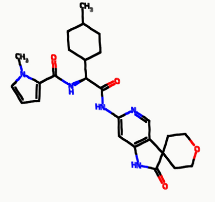 CC1CCC([C@H](NC(=O)c2cccn2C)C(=O)Nc2cc3c(cn2)C2(CCOCC2)C(=O)N3)CC1